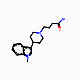 Cn1cc(C2CCN(CCCC(N)=O)CC2)c2ccccc21